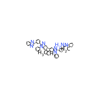 C=C1CCC=C/C1=N/C=C(\N)C1=CC(c2nc3cc4c(cc3n2-c2ccccc2)C(C)(C)C2C=c3c(nc(-c5cccc(-c6cnc7ccccc7n6)c5)n3-c3ccccc3)=CC42)=CCC1